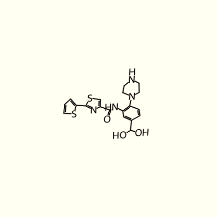 O=C(Nc1cc(C(O)O)ccc1N1CCNCC1)c1csc(-c2cccs2)n1